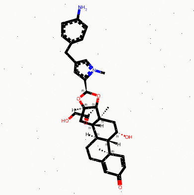 Cn1cc(Cc2ccc(N)cc2)cc1[C@@H]1O[C@@H]2C[C@H]3[C@@H]4CCC5=CC(=O)C=C[C@]5(C)[C@H]4[C@@H](O)C[C@]3(C)[C@]2(C(=O)CO)O1